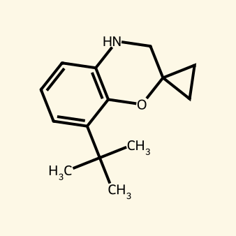 CC(C)(C)c1cccc2c1OC1(CC1)CN2